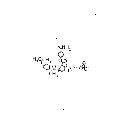 CC(C)Cc1ccc(C(C)C(=O)Oc2ccc(OC(=O)CCCO[N+](=O)[O-])c(C(=O)Oc3ccc(C(N)=S)cc3)c2)cc1